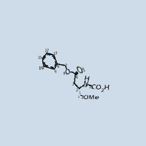 COC[C@H](CC(=O)OCc1ccccc1)NC(=O)O